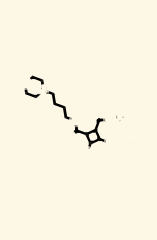 COC(=O)C1C(C(=O)O)C(C(=O)O)C1C(=O)OCCCCN1CCOCC1